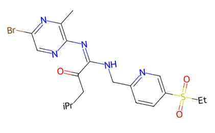 CCS(=O)(=O)c1ccc(CN/C(=N/c2ncc(Br)nc2C)C(=O)CC(C)C)nc1